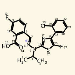 CC(C)N(/N=C/c1ccc(F)cc1C(=O)O)c1nc(-c2ccccc2Cl)c(F)s1